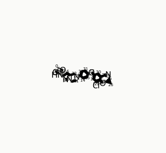 CS(=O)(=O)Nc1cc2n(n1)CCN(c1ccc(Oc3cc(Cl)c(OC4CC4)c(C#N)c3)cc1)C2